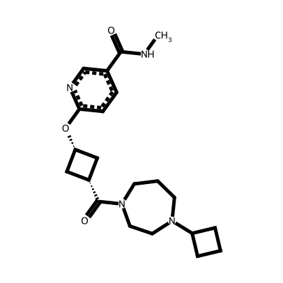 CNC(=O)c1ccc(O[C@H]2C[C@@H](C(=O)N3CCCN(C4CCC4)CC3)C2)nc1